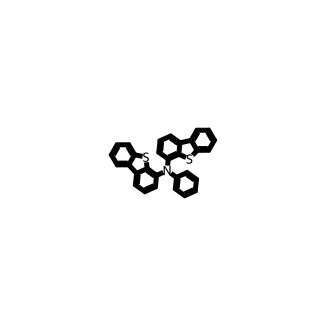 c1ccc(N(c2cccc3c2sc2ccccc23)c2cccc3c2sc2ccccc23)cc1